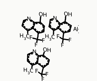 Cc1ccnc2c(O)ccc(C(F)(F)F)c12.Cc1ccnc2c(O)ccc(C(F)(F)F)c12.Cc1ccnc2c(O)ccc(C(F)(F)F)c12.[Al]